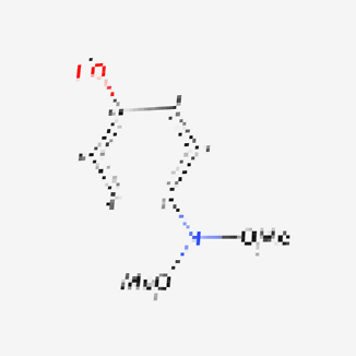 CON(OC)c1ccc(O)cc1